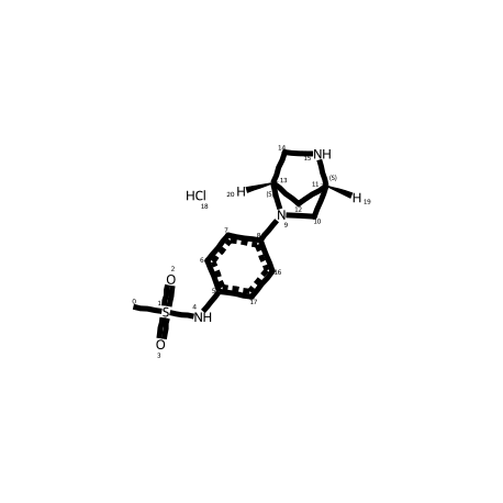 CS(=O)(=O)Nc1ccc(N2C[C@@H]3C[C@H]2CN3)cc1.Cl